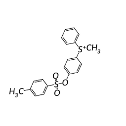 Cc1ccc(S(=O)(=O)Oc2ccc([S+](C)c3ccccc3)cc2)cc1